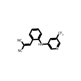 N#CC(C#N)=Cc1ccccc1Nc1cncc(C(F)(F)F)c1